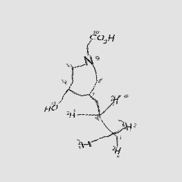 [2H]C([2H])([2H])C([2H])([2H])C1CN(C(=O)O)CC1O